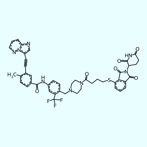 Cc1ccc(C(=O)Nc2ccc(CN3CCN(C(=O)CCCSc4cccc5c4C(=O)N(C4CCC(=O)NC4=O)C5=O)CC3)c(C(F)(F)F)c2)cc1C#Cc1cnc2cccnn12